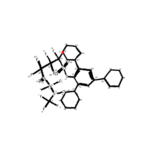 C[N+]([O-])([S+]([O-])C(F)(F)F)S(=O)(=O)C(F)(F)C(F)(F)C(F)(F)S(=O)(=O)Oc1c(C2CCCCC2)cc(C2CCCCC2)cc1C1CCCCC1